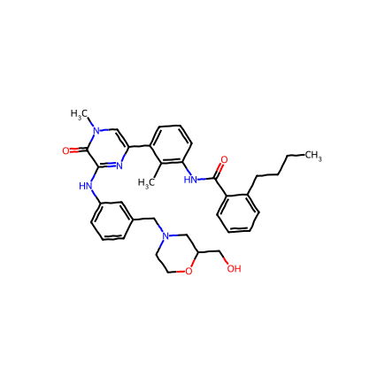 CCCCc1ccccc1C(=O)Nc1cccc(-c2cn(C)c(=O)c(Nc3cccc(CN4CCOC(CO)C4)c3)n2)c1C